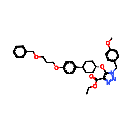 CCOC(=O)c1nnn(Cc2ccc(OC)cc2)c1O[C@H]1CC[C@H](c2ccc(OCCCOCc3ccccc3)cc2)CC1